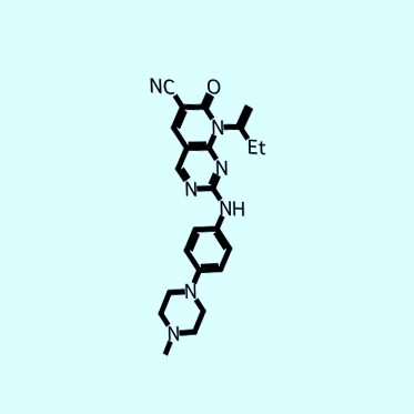 C=C(CC)n1c(=O)c(C#N)cc2cnc(Nc3ccc(N4CCN(C)CC4)cc3)nc21